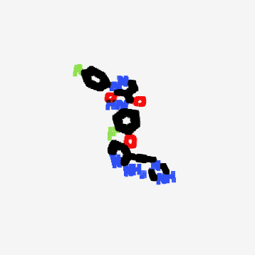 Nc1nccc(Oc2ccc(NC(=O)c3ccnn(-c4ccc(F)cc4)c3=O)cc2F)c1C#CCN1CCNCC1